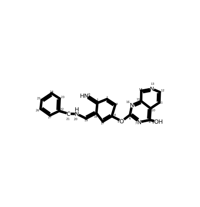 N=C1C=CC(Oc2nc(O)c3ccncc3n2)=C/C1=C/NCc1ccccc1